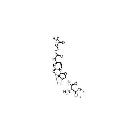 CC(=O)OCOC(=O)Nc1ccn([C@@H]2O[C@H](COC(=O)[C@@H](N)C(C)C)[C@@H](O)C2(F)F)c(=O)n1